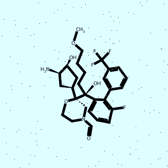 COCCCC[C@](O)(c1cccc(F)c1-c1cccc(C(F)(F)F)c1)[C@@]1([C@H]2C[C@@H](N)[C@@H](O)C2)CN(C=O)CCO1